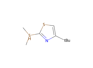 C[SH](C)c1nc(C(C)(C)C)cs1